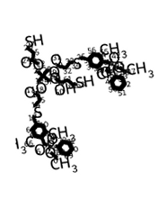 CCOP(=O)(C(=O)c1c(C)cc(CSCCC(=O)OCC(COC(=O)CCS)(COC(=O)CCSCc2cc(C)c(C(=O)P(=O)(OCC)c3ccccc3)c(C)c2)COC(O)CCS)cc1C)c1ccccc1